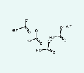 O=C([O-])O.O=C([O-])O.O=C([O-])O.O=C([O-])O.[W+4]